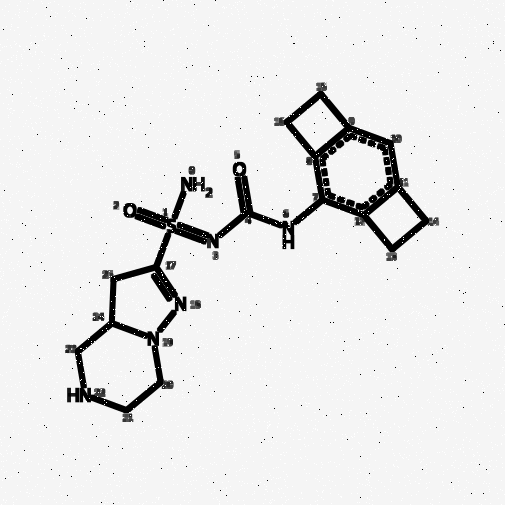 NS(=O)(=NC(=O)Nc1c2c(cc3c1CC3)CC2)C1=NN2CCNCC2C1